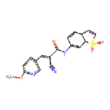 COc1ccc(/C=C(\C#N)C(=O)NC2=CC3C(C=C2)C=CS3(=O)=O)cn1